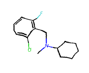 CN(Cc1c(F)cccc1Cl)C1CCCCC1